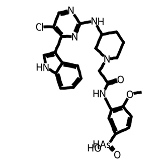 COc1ccc([AsH](=O)O)cc1NC(=O)CN1CCCC(Nc2ncc(Cl)c(-c3c[nH]c4ccccc34)n2)C1